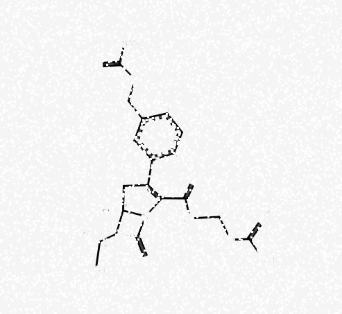 CNC(=O)OCc1cccc(C2=C(C(=O)OCOC(=O)C(C)(C)C)N3C(=O)[C@H]([C@@H](C)O)[C@H]3C2)c1